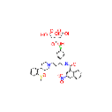 CN(CC(CCN1CCC(c2ccccc2[S@+](C)[O-])CC1)c1ccc(Cl)cc1)C(=O)c1cc([N+](=O)[O-])cc2ccccc12.O=C(O)CC(O)(CC(=O)O)C(=O)O